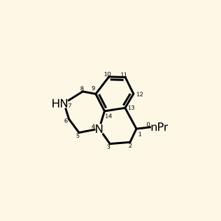 CCCC1CCN2CCNCc3cccc1c32